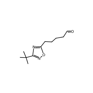 CC(C)(C)c1noc(CCCCC=O)n1